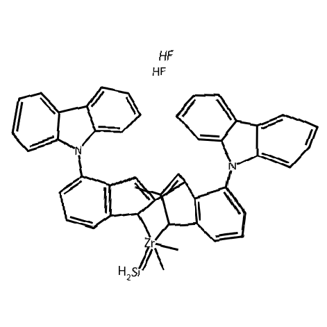 CC1=Cc2c(cccc2-n2c3ccccc3c3ccccc32)[CH]1[Zr]([CH3])([CH3])(=[SiH2])[CH]1C(C)=Cc2c1cccc2-n1c2ccccc2c2ccccc21.F.F